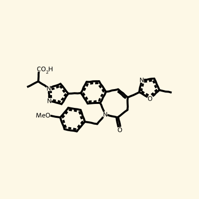 COc1ccc(CN2C(=O)CC(c3ncc(C)o3)=Cc3ccc(-c4cnn(C(C)C(=O)O)c4)cc32)cc1